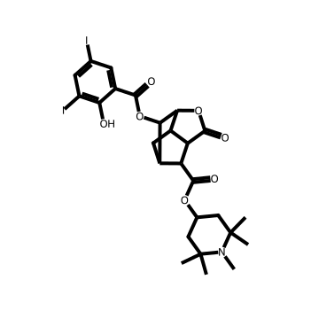 CN1C(C)(C)CC(OC(=O)C2C3CC4C(OC(=O)C42)C3OC(=O)c2cc(I)cc(I)c2O)CC1(C)C